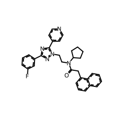 O=C(Cc1cccc2ccccc12)N(CCn1nc(-c2cccc(F)c2)nc1-c1ccncc1)C1CCCC1